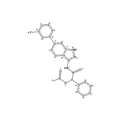 CC(=O)OC(C(=O)Nc1n[nH]c2cc(-c3cccc(F)c3)ccc12)c1ccccc1